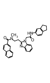 CN(CCc1nc2ccccc2n1CC(=O)Nc1ccc2c(c1)CCC2)C(=O)c1ccc2ccccc2c1